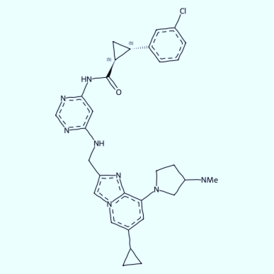 CNC1CCN(c2cc(C3CC3)cn3cc(CNc4cc(NC(=O)[C@H]5C[C@@H]5c5cccc(Cl)c5)ncn4)nc23)C1